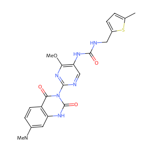 CNc1ccc2c(=O)n(-c3ncc(NC(=O)NCc4ccc(C)s4)c(OC)n3)c(=O)[nH]c2c1